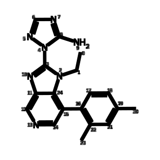 CCn1c(-n2ncnc2N)nc2cncc(-c3ccc(C)cc3C)c21